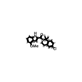 COc1cccc2[nH]c(C(=O)N3CCc4cc(Cl)ccc4C3(C)C)cc12